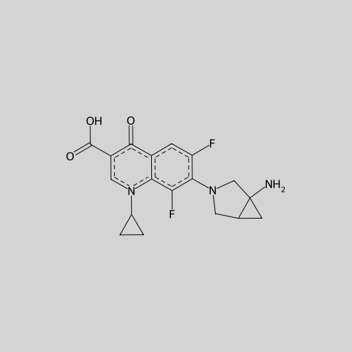 NC12CC1CN(c1c(F)cc3c(=O)c(C(=O)O)cn(C4CC4)c3c1F)C2